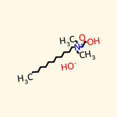 CCCCCCCCCCCC[N+](CC)(CC)CC(=O)O.[OH-]